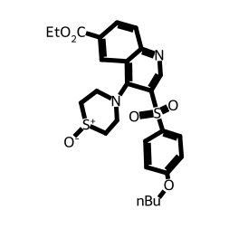 CCCCOc1ccc(S(=O)(=O)c2cnc3ccc(C(=O)OCC)cc3c2N2CC[S+]([O-])CC2)cc1